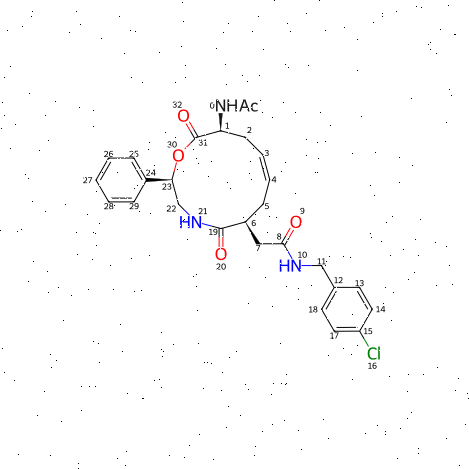 CC(=O)N[C@H]1CC=CC[C@@H](CC(=O)NCc2ccc(Cl)cc2)C(=O)NC[C@@H](c2ccccc2)OC1=O